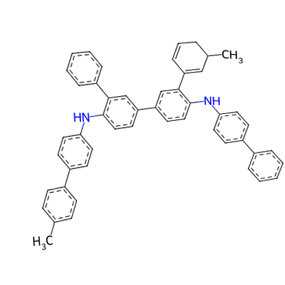 Cc1ccc(-c2ccc(Nc3ccc(-c4ccc(Nc5ccc(-c6ccccc6)cc5)c(C5=CC(C)CC=C5)c4)cc3-c3ccccc3)cc2)cc1